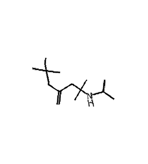 C=C(CC(C)(C)C)CC(C)(C)NC(C)C